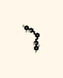 Fc1ccc(-c2ccc(CCc3cccc(CCc4ccc(-c5ccc(F)cc5F)nc4)c3)cn2)c(F)c1